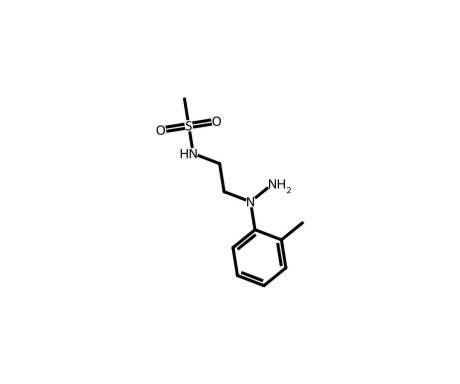 Cc1ccccc1N(N)CCNS(C)(=O)=O